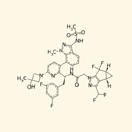 Cn1nc(NS(C)(=O)=O)c2cccc(-c3ccc(N4CC(C)(O)C4)nc3[C@H](Cc3cc(F)cc(F)c3)NC(=O)Cn3nc(C(F)F)c4c3C(F)(F)[C@@H]3C[C@H]43)c21